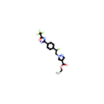 CCOC(=O)c1cnn(CC(F)c2ccc(-c3noc(C(F)(F)F)n3)cc2)c1